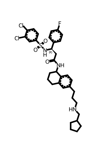 O=C(C[C@@H](NS(=O)(=O)c1ccc(Cl)c(Cl)c1)c1ccc(F)cc1)NC1CCCc2cc(CCCNCC3CCCC3)ccc21